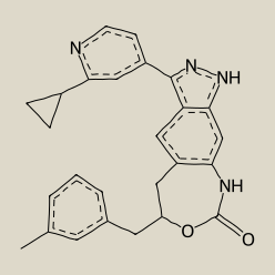 Cc1cccc(CC2Cc3cc4c(-c5ccnc(C6CC6)c5)n[nH]c4cc3NC(=O)O2)c1